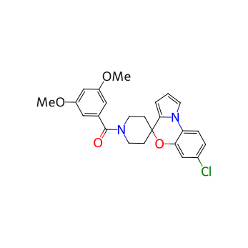 COc1cc(OC)cc(C(=O)N2CCC3(CC2)Oc2cc(Cl)ccc2-n2cccc23)c1